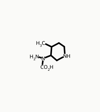 CC1CCNCC1N(N)C(=O)O